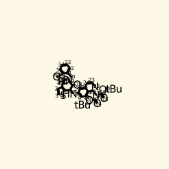 Cc1ccsc1C(Nc1ccc2c(N(C(=O)OC(C)(C)C)C(=O)OC(C)(C)C)nccc2c1)C(=O)NCc1ccccc1S(C)(=O)=O